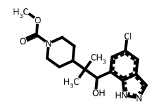 COC(=O)N1CCC(C(C)(C)C(O)c2cc(Cl)cc3cn[nH]c23)CC1